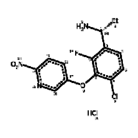 CC[C@@H](N)c1ccc(Cl)c(Oc2ccc([N+](=O)[O-])nc2)c1F.Cl